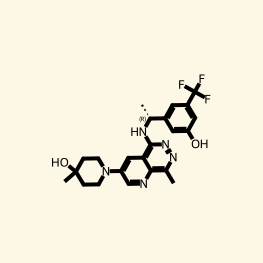 Cc1nnc(N[C@H](C)c2cc(O)cc(C(F)(F)F)c2)c2cc(N3CCC(C)(O)CC3)cnc12